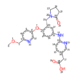 COCc1ccc(Oc2ccc(Nc3ccc(CC(=O)O)cn3)cc2CN2CCCC2=O)cn1